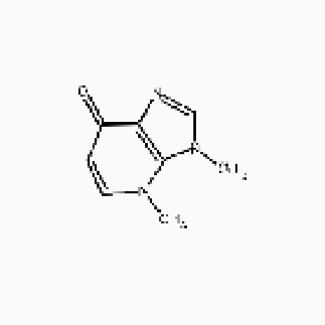 Cn1ccc(=O)c2ncn(C)c21